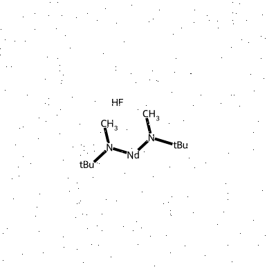 C[N]([Nd][N](C)C(C)(C)C)C(C)(C)C.F